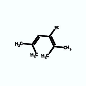 CCC(C=C(C)C)=C(C)C